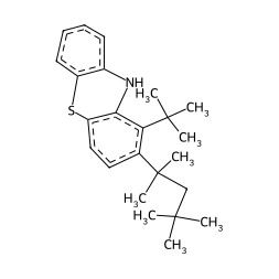 CC(C)(C)CC(C)(C)c1ccc2c(c1C(C)(C)C)Nc1ccccc1S2